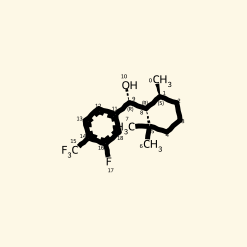 C[C@H]1CCCC(C)(C)[C@@H]1[C@@H](O)c1ccc(C(F)(F)F)c(F)c1